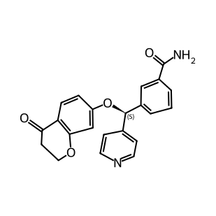 NC(=O)c1cccc([C@H](Oc2ccc3c(c2)OCCC3=O)c2ccncc2)c1